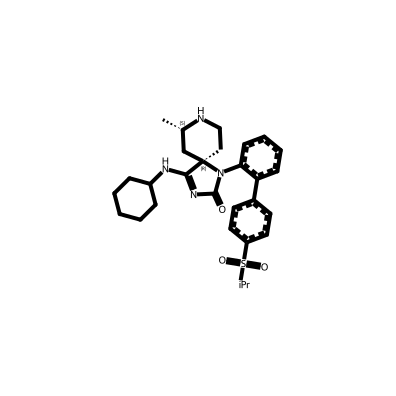 CC(C)S(=O)(=O)c1ccc(-c2ccccc2N2C(=O)N=C(NC3CCCCC3)[C@]23CCN[C@@H](C)C3)cc1